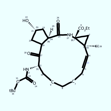 CCOC(=O)[C@@]12C[C@H]1/C=C\CCCCC[C@H](NC(=O)OC(C)(C)C)C(=O)C1C[C@H](O)C[C@H]1C(=O)N2